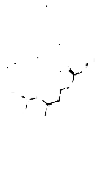 CC(C)OC(=O)OCC[C@@H](C)ON(O)O